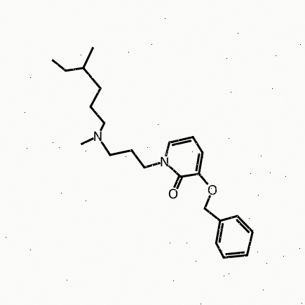 CCC(C)CCCN(C)CCCn1cccc(OCc2ccccc2)c1=O